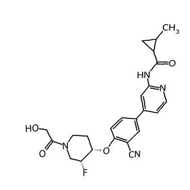 CC1CC1C(=O)Nc1cc(-c2ccc(O[C@H]3CCN(C(=O)CO)C[C@H]3F)c(C#N)c2)ccn1